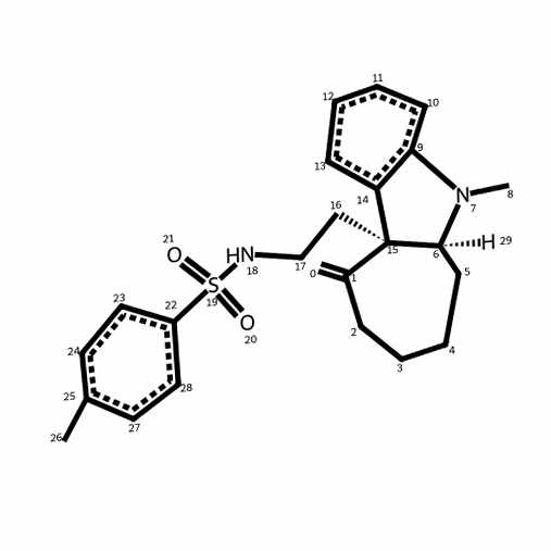 C=C1CCCC[C@@H]2N(C)c3ccccc3[C@]12CCNS(=O)(=O)c1ccc(C)cc1